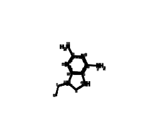 CCN1CNc2c(N)nc(N)nc21